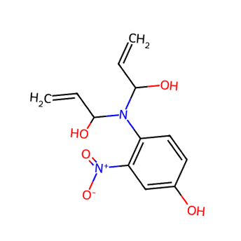 C=CC(O)N(c1ccc(O)cc1[N+](=O)[O-])C(O)C=C